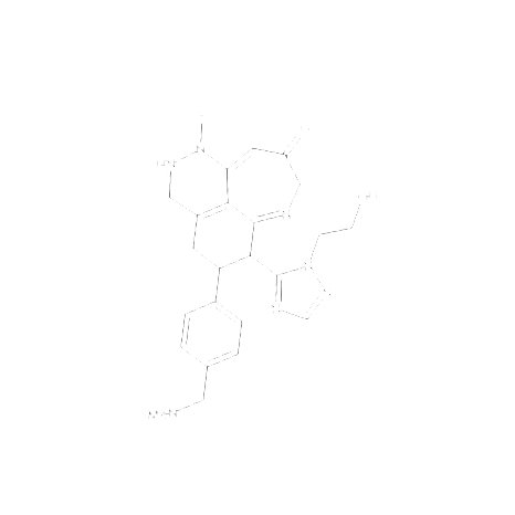 CNCc1ccc(C2CC3=C4C(=CC(=O)CN=C4C2c2ncnn2CCO)N(F)NC3)cc1